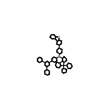 c1ccc(-c2cc(-c3ccccc3)cc(-c3ccc(N(c4ccc(-c5ccc6oc7ccccc7c6c5)cc4)c4cccc5c4-c4ccccc4C5(c4ccccc4)c4ccccc4)cc3)c2)cc1